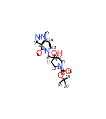 Cn1ncc2c(=O)n(CC3(O)CCN(C(=O)OC(C)(C)C)CC3)ccc21